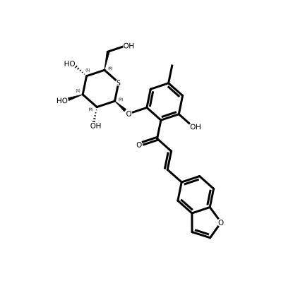 Cc1cc(O)c(C(=O)C=Cc2ccc3occc3c2)c(O[C@@H]2S[C@H](CO)[C@@H](O)[C@H](O)[C@H]2O)c1